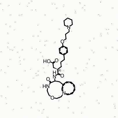 O=C(O)C[C@@H](CCCc1ccc(OCCCN2CCCCC2)cc1)C(=O)NC1Cc2ccccccn(c2)CCOCCNC1=O